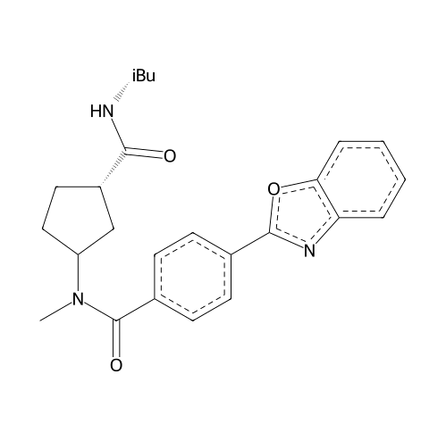 CC[C@@H](C)NC(=O)[C@H]1CCC(N(C)C(=O)c2ccc(-c3nc4ccccc4o3)cc2)C1